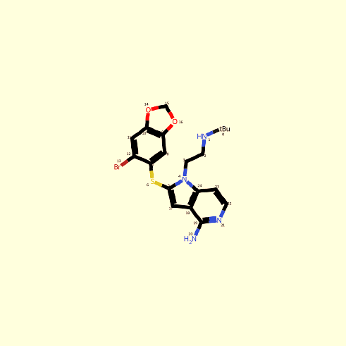 CC(C)(C)NCCn1c(Sc2cc3c(cc2Br)OCO3)cc2c(N)nccc21